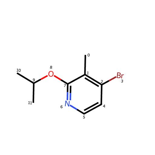 Cc1c(Br)ccnc1OC(C)C